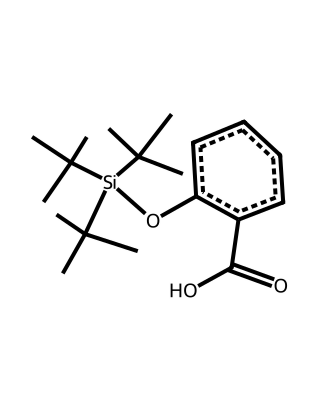 CC(C)(C)[Si](Oc1ccccc1C(=O)O)(C(C)(C)C)C(C)(C)C